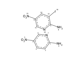 Nc1ccc([N+](=O)[O-])cn1.Nc1ncc([N+](=O)[O-])cc1I